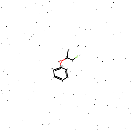 CC(CF)Oc1[c]cccc1